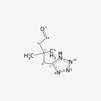 CC(C)(C[C]=O)Cc1nnn[nH]1